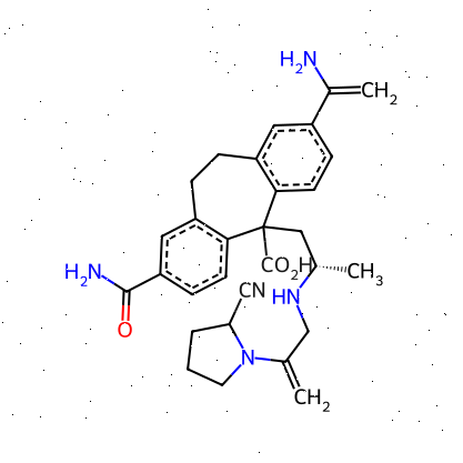 C=C(N)c1ccc2c(c1)CCc1cc(C(N)=O)ccc1C2(C[C@H](C)NCC(=C)N1CCCC1C#N)C(=O)O